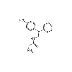 NCC(=O)NCC(c1ccccc1)c1ccc(O)cc1